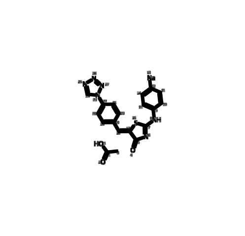 CC(=O)O.O=C1N=C(Nc2cc[c]([Na])cc2)SC1=Cc1ccc(-n2cnnn2)cc1